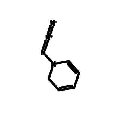 [N-]=[N+]=NN1C=CC=CC1